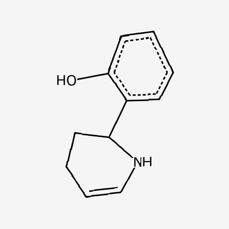 Oc1ccccc1C1CCC=CN1